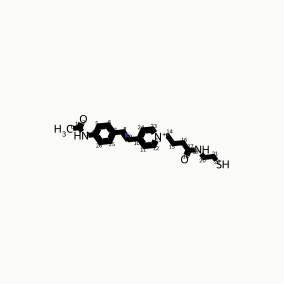 CC(=O)Nc1ccc(/C=C/c2cc[n+](CCCC(=O)NCCS)cc2)cc1